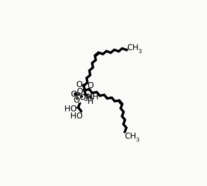 [2H]NCC(OP(=O)(O)OC[C@H](O)CO)(C(=O)CCCCCCC/C=C\CCCCCCCC)C(=O)CCCCCCC/C=C\CCCCCCCC